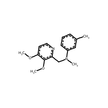 COc1ccnc(CN(C)c2cccc(C)c2)c1OC